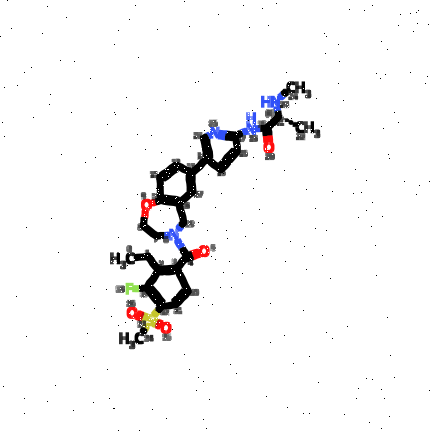 CCc1c(C(=O)N2CCOc3ccc(-c4ccc(NC(=O)[C@@H](C)NC)nc4)cc3C2)ccc(S(C)(=O)=O)c1F